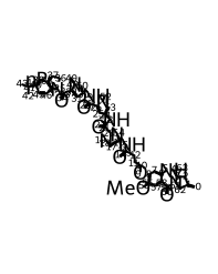 C=C1C[C@H]2C=Nc3cc(OCCCC(=O)Nc4cn(C)c(C(=O)Nc5cc(C(=O)Nc6cc(C(=O)N7CCc8cc(C(C)(C)CCC)ccc87)n(C)c6)n(C)c5)n4)c(OC)cc3C(=O)N2C1